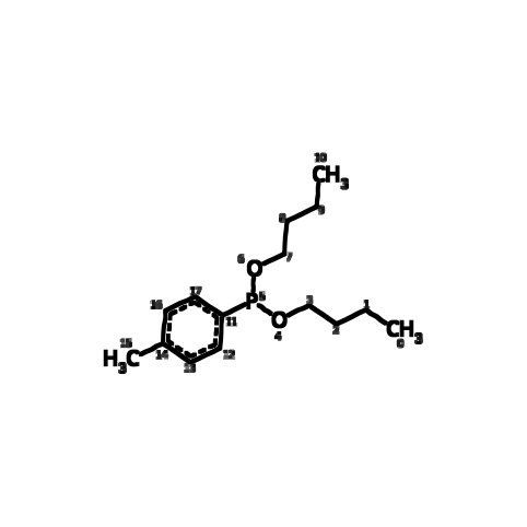 CCCCOP(OCCCC)c1ccc(C)cc1